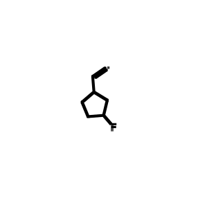 [CH]=CC1CCC(F)C1